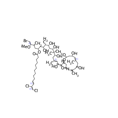 C=C(CC(CC(O)C(C)C(O)CC(O)C(C)(C)C(O)C/C(C)=C/[C@H](O)[C@@H]1O[C@@H]2C[C@H](C)C[C@@H](O)C/C(C)=C/C(O)CC(=O)O[C@H]1C2)OC(=O)CCCCCCCCC/C=C/C(Cl)=C\Cl)/C(=C/Br)OC